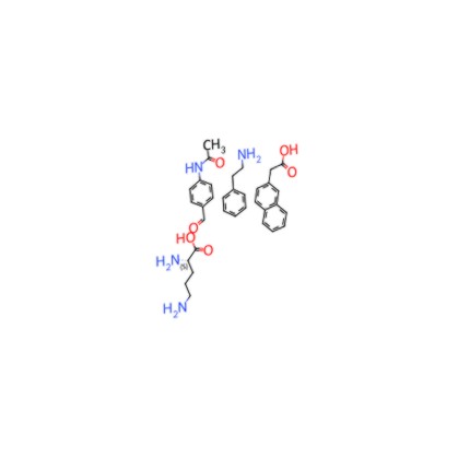 CC(=O)Nc1ccc(C=O)cc1.NCCC[C@H](N)C(=O)O.NCCc1ccccc1.O=C(O)Cc1ccc2ccccc2c1